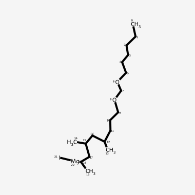 CCCCCCOCOCCCC(C)CC(C)C[CH](C)[Mg][I]